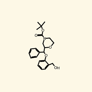 CC(C)(C)OC(=O)N1CCOC(C(Oc2ccccc2CO)c2ccccc2)C1